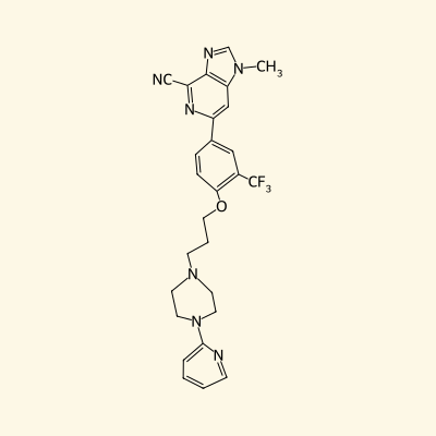 Cn1cnc2c(C#N)nc(-c3ccc(OCCCN4CCN(c5ccccn5)CC4)c(C(F)(F)F)c3)cc21